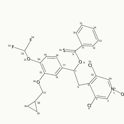 [O-][n+]1cc(Cl)c(CC(OC(=S)c2ccccc2)c2ccc(OC(F)F)c(OCC3CC3)c2)c(Cl)c1